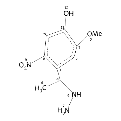 COc1cc(C(C)NN)c([N+](=O)[O-])cc1O